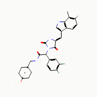 Cc1c(Cl)ccc2c(/C=C3\NC(=O)N(C(C(=O)NCC45CCC(O)(CC4)CC5)c4ccc(F)c(F)c4)C3=O)c[nH]c12